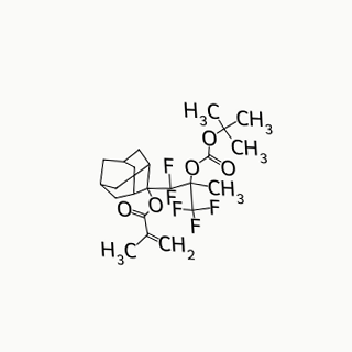 C=C(C)C(=O)OC1(C(F)(F)C(C)(OC(=O)OC(C)(C)C)C(F)(F)F)C2CC3CC(C2)CC1C3